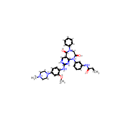 C=CC(=O)Nc1cccc(N2C(=O)CN(c3ccccc3)C(=O)c3cnc(Nc4ccc(N5CCN(C)CC5)cc4OC)nc32)c1